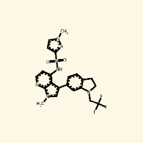 Cn1ccc(S(=O)(=O)Nc2ccnc3c2c(-c2ccc4c(c2)N(CC(F)(F)F)CC4)cn3C)n1